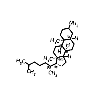 CC(C)CCC[C@@H](C)[C@H]1CC[C@H]2[C@@H]3CC[C@H]4CC(N)CC[C@]4(C)[C@H]3CC[C@]12C